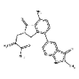 C=C(CN1Cc2c(-c3ccc4[nH]n(C)c(=O)c4c3)ccc(N)c2C1=O)C(N)=O